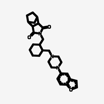 O=C1C2C3CCC(C3)C2C(=O)N1CC1CCCCC1CN1CCN(c2ccc3occc3c2)CC1